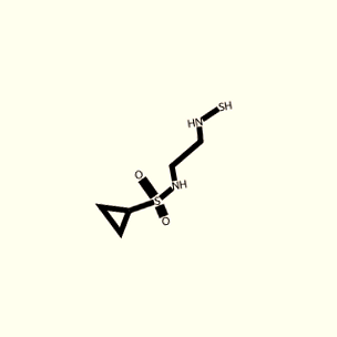 O=S(=O)(NCCNS)C1CC1